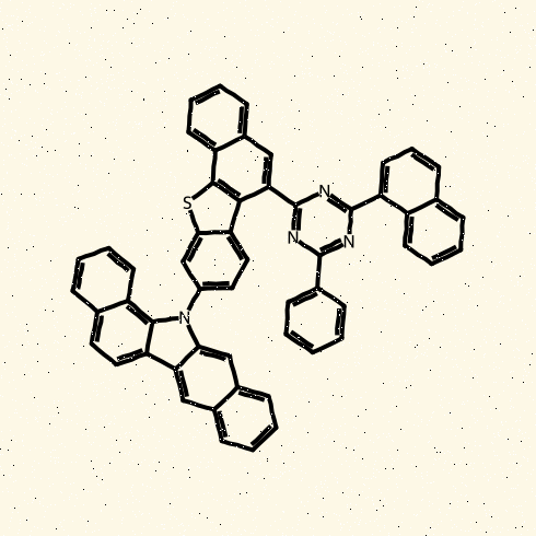 c1ccc(-c2nc(-c3cccc4ccccc34)nc(-c3cc4ccccc4c4sc5cc(-n6c7cc8ccccc8cc7c7ccc8ccccc8c76)ccc5c34)n2)cc1